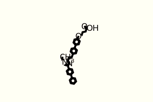 CCn1cc(-c2ccc(-c3ccccc3)cc2)nc1C=Cc1ccc(-c2ccc(OCCCC(=O)O)cc2)cc1